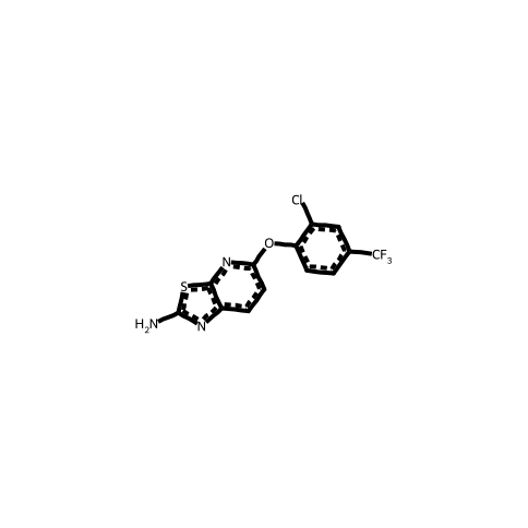 Nc1nc2ccc(Oc3ccc(C(F)(F)F)cc3Cl)nc2s1